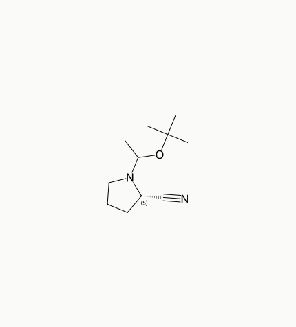 CC(OC(C)(C)C)N1CCC[C@H]1C#N